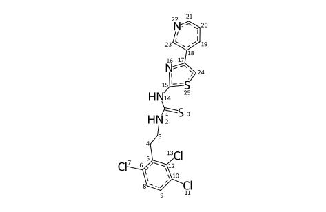 S=C(NCCc1c(Cl)ccc(Cl)c1Cl)Nc1nc(-c2cccnc2)cs1